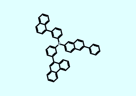 c1ccc(-c2ccc3cc(N(c4cccc(-c5cccc6ccccc56)c4)c4cccc(-c5cc6ccccc6c6ccccc56)c4)ccc3c2)cc1